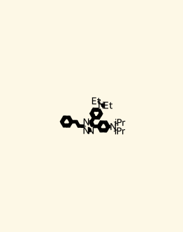 CCN(CC)c1ccc(-c2nc(CCc3ccccc3)nnc2-c2ccc(N(C(C)C)C(C)C)cc2)cc1